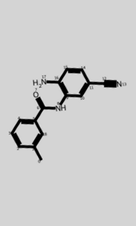 Cc1cccc(C(=O)Nc2cc(C#N)ccc2N)c1